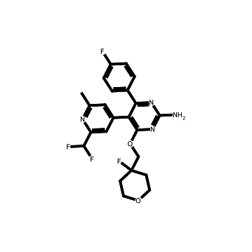 Cc1cc(-c2c(OCC3(F)CCOCC3)nc(N)nc2-c2ccc(F)cc2)cc(C(F)F)n1